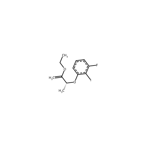 C=C(OCC)[C@@H](C)Oc1cccc(F)c1I